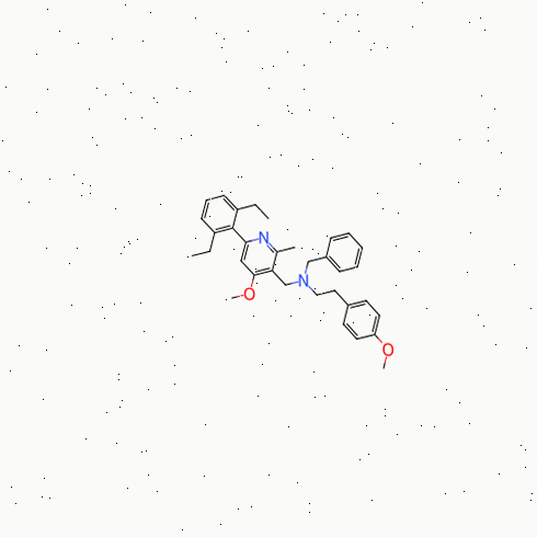 CCc1cccc(CC)c1-c1cc(OC)c(CN(CCc2ccc(OC)cc2)Cc2ccccc2)c(C)n1